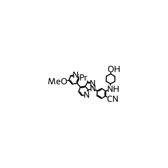 COc1cncc(-c2ccnc3c2c(C(C)C)nn3-c2ccc(C#N)c(NC3CCC(O)CC3)c2)c1